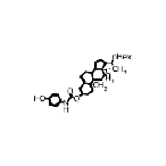 CCCCCCC(C)[C@H]1CCC2C3CC=C4CC(OC(=O)Nc5ccc(O)cc5)CC[C@]4(C)C3CC[C@@]21C